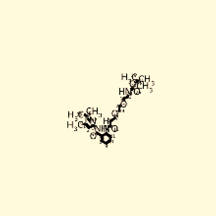 Cc1cc(NC(=O)c2ccccc2NC(=O)CCOCCOCCNC(=O)OC(C)(C)C)nn1C(C)C